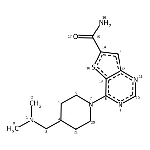 CN(C)CC1CCN(c2ncnc3cc(C(N)=O)sc23)CC1